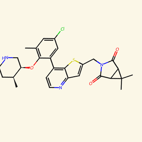 Cc1cc(Cl)cc(-c2ccnc3cc(CN4C(=O)C5C(C4=O)C5(C)C)sc23)c1O[C@@H]1CNCC[C@@H]1C